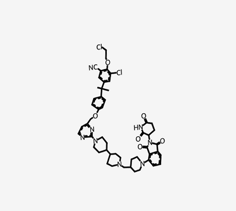 CC(C)(c1ccc(OCc2ccnc(N3CCC(C4CCN(CC5CCN(c6cccc7c6C(=O)N(C6CCC(=O)NC6=O)C7=O)CC5)CC4)CC3)n2)cc1)c1cc(Cl)c(OCCCl)c(C#N)c1